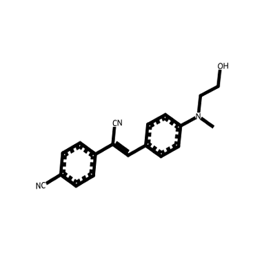 CN(CCO)c1ccc(/C=C(\C#N)c2ccc(C#N)cc2)cc1